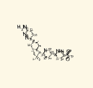 CC(C)(C)C(c1ccc(-c2ccc(N)nn2)cc1)c1ccc(-c2ccc(S(C)(=O)=O)nn2)cn1